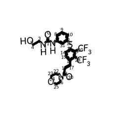 O=C(NCCO)Nc1cccc(Sc2ccc(C=CC(=O)N3CCOCC3)c(C(F)(F)F)c2C(F)(F)F)c1